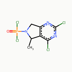 CC1c2c(Cl)nc(Cl)nc2CN1P(=O)(Cl)Cl